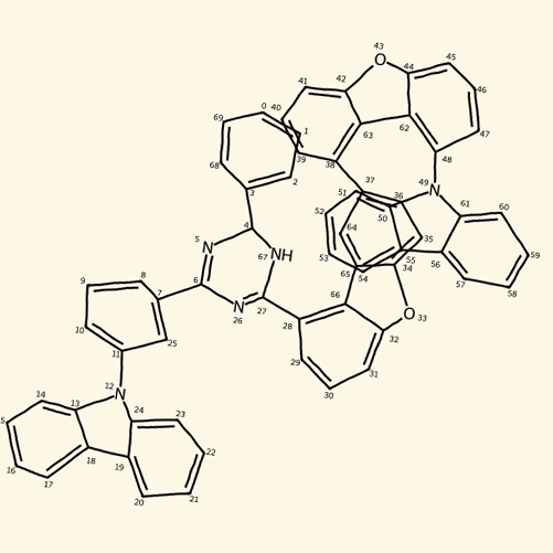 c1ccc(C2N=C(c3cccc(-n4c5ccccc5c5ccccc54)c3)N=C(c3cccc4oc5ccc(-c6cccc7oc8cccc(-n9c%10ccccc%10c%10ccccc%109)c8c67)cc5c34)N2)cc1